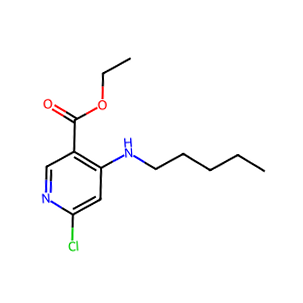 CCCCCNc1cc(Cl)ncc1C(=O)OCC